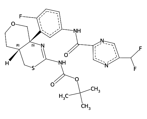 CC(C)(C)OC(=O)NC1=N[C@@]2(c3cc(NC(=O)c4cnc(C(F)F)cn4)ccc3F)COCC[C@H]2CS1